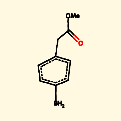 Bc1ccc(CC(=O)OC)cc1